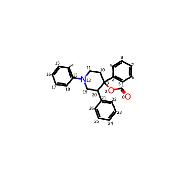 O=COC1(c2ccccc2)CCN(c2ccccc2)CC1c1ccccc1